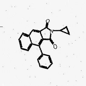 O=C1c2cc3ccccc3c(-c3ccccc3)c2C(=O)N1C1CC1